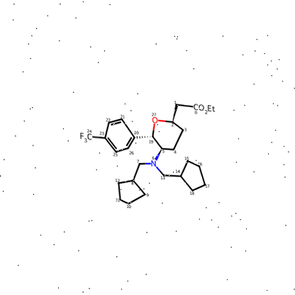 CCOC(=O)C[C@H]1CC[C@@H](N(CC2CCCC2)CC2CCCC2)[C@H](c2ccc(C(F)(F)F)cc2)O1